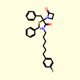 O=C1CCN1C(Cc1ccccc1)(SCc1ccccc1)C(=O)NCCCCCCc1ccc(F)cc1